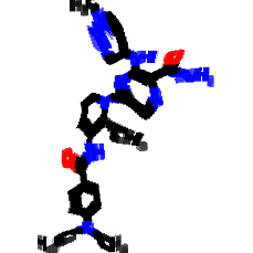 C[C@@H]1[C@H](NC(=O)c2ccc(N(C)C)cc2)CCCN1c1cnc(C(N)=O)c(Nc2cnn(C)c2)n1